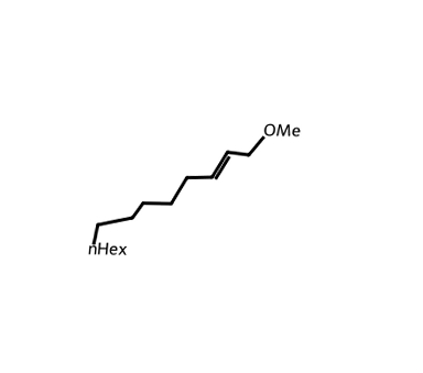 [CH2]OCC=CCCCCCCCCCCC